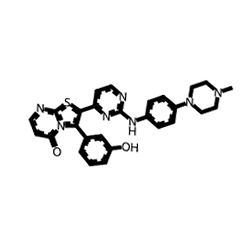 CN1CCN(c2ccc(Nc3nccc(-c4sc5nccc(=O)n5c4-c4cccc(O)c4)n3)cc2)CC1